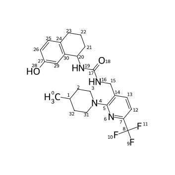 CC1CCN(c2nc(C(F)(F)F)ccc2CNC(=O)NC2CCCc3ccc(O)cc32)CC1